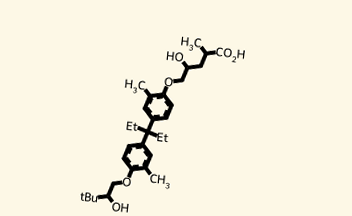 CCC(CC)(c1ccc(OCC(O)CC(C)C(=O)O)c(C)c1)c1ccc(OCC(O)C(C)(C)C)c(C)c1